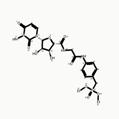 CCCCn1c(=O)ccn([C@@H]2O[C@H](C(=O)NCC(=O)Nc3ccc(CP(=O)(OCC)OCC)cc3)[C@@H](O)[C@H]2O)c1=O